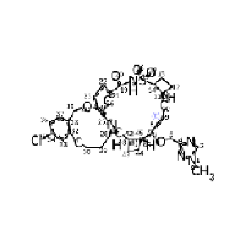 Cn1cnc(CO[C@H]2/C=C/C[C@H]3CCC3S(=O)(=O)NC(=O)c3ccc4c(c3)N(CCCCc3cc(Cl)ccc3CO4)C[C@@H]3CC[C@H]32)n1